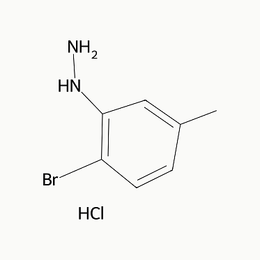 Cc1ccc(Br)c(NN)c1.Cl